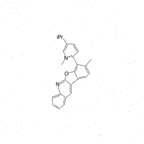 Cc1ccc2c(oc3nc4ccccc4cc32)c1-c1ccc(C(C)C)c[n+]1C